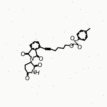 Cc1ccc(S(=O)(=O)OCCCCC#Cc2cccc3c2C(=O)N(C2CCC(=O)NC2=O)C3=O)cc1